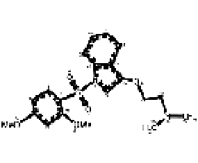 COc1ccc(S(=O)(=O)n2cc(OCCN(C)C)c3ccccc32)c(OC)c1